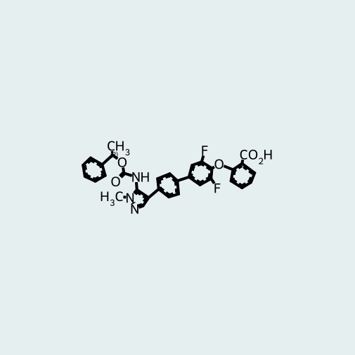 C[C@@H](OC(=O)Nc1c(-c2ccc(-c3cc(F)c(Oc4ccccc4C(=O)O)c(F)c3)cc2)cnn1C)c1ccccc1